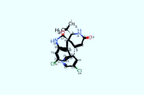 C=C(C)[C@@H]1NC(=O)C[C@H](c2cncc(Cl)c2)[C@@]12C(=O)Nc1cc(Cl)ccc12